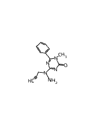 C#CCN(N)c1nc(-c2ccccc2)n(C)c(=O)n1